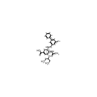 CCC(CC)O[C@@H]1C=C(C(=O)O)C[C@H](NCc2cc(F)cc(-c3ccccc3)c2)[C@H]1NC(C)=O